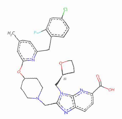 Cc1cc(Cc2ccc(Cl)cc2F)nc(OC2CCN(Cc3nc4ccc(C(=O)O)nc4n3C[C@@H]3CCO3)CC2)c1